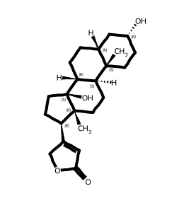 C[C@]12CC[C@@H](O)C[C@H]1CC[C@@H]1[C@@H]2CC[C@]2(C)[C@@H](C3=CC(=O)OC3)CC[C@]12O